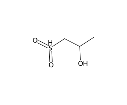 CC(O)C[SH](=O)=O